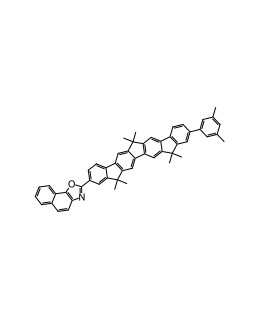 Cc1cc(C)cc(-c2ccc3c(c2)C(C)(C)c2cc4c(cc2-3)C(C)(C)c2cc3c(cc2-4)C(C)(C)c2cc(-c4nc5ccc6ccccc6c5o4)ccc2-3)c1